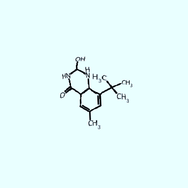 CC1=CC2C(=O)NC(O)NC2C(C(C)(C)C)=C1